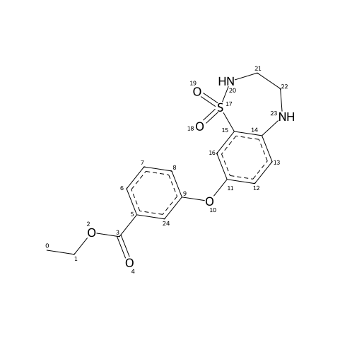 CCOC(=O)c1cccc(Oc2ccc3c(c2)S(=O)(=O)NCCN3)c1